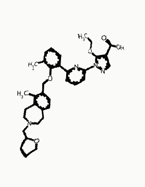 CCOc1c(C(=O)O)cnn1-c1cccc(-c2cccc(C)c2OCc2ccc3c(c2C)CCN(CC2CCCO2)CC3)n1